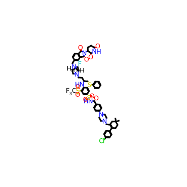 CC1(C)CCC(c2ccc(Cl)cc2)=C(CN2CCN(c3ccc(C(=O)NS(=O)(=O)c4ccc(NC(CCN5C[C@@H]6C[C@H]5CN6Cc5ccc6c(c5F)C(=O)N(C5CCC(=O)NC5=O)C6=O)CSc5ccccc5)c(S(=O)(=O)C(F)(F)F)c4)cc3)CC2)C1